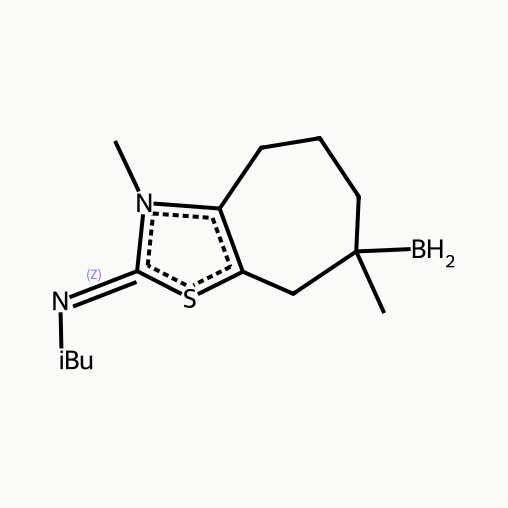 BC1(C)CCCc2c(s/c(=N\C(C)CC)n2C)C1